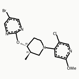 COc1cc(N2CC[C@@H](Oc3ncc(Br)cn3)[C@H](C)C2)c(Cl)cn1